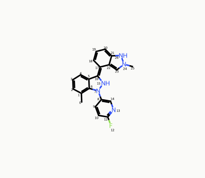 Cc1cccc2c1N(c1ccc(F)nc1)NC2=c1cccc2c1=CN(C)N2